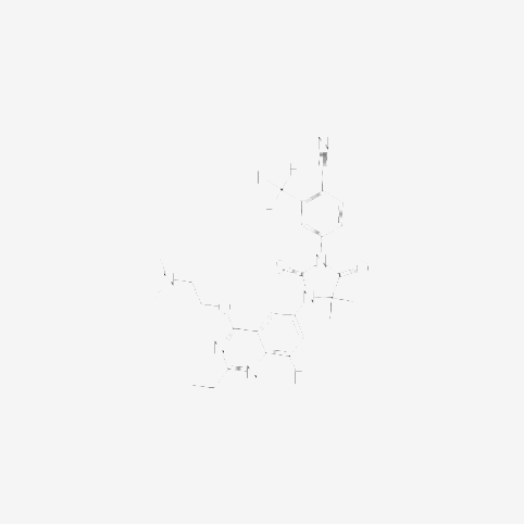 CCc1nc(OCCN(C)C)c2cc(N3C(=S)N(c4ccc(C#N)c(C(F)(F)F)c4)C(=O)C3(C)C)cc(F)c2n1